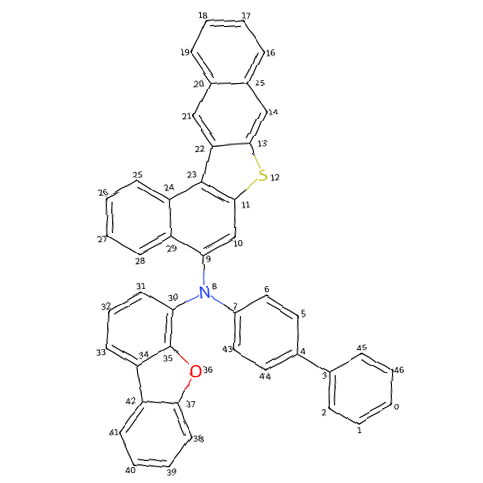 c1ccc(-c2ccc(N(c3cc4sc5cc6ccccc6cc5c4c4ccccc34)c3cccc4c3oc3ccccc34)cc2)cc1